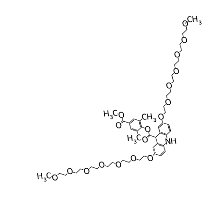 COCCOCCOCCOCCOCCOCCOc1ccc2c(c1)C(C(=O)Oc1c(C)cc(C(=O)OC)cc1C)c1cc(OCCOCCOCCOCCOCCOCCOC)ccc1N2